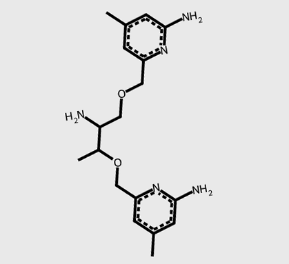 Cc1cc(N)nc(COCC(N)C(C)OCc2cc(C)cc(N)n2)c1